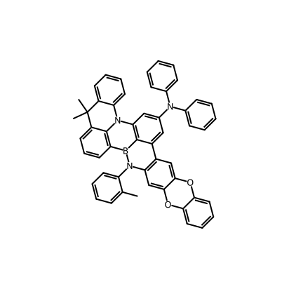 Cc1ccccc1N1B2c3cccc4c3N(c3ccccc3C4(C)C)c3cc(N(c4ccccc4)c4ccccc4)cc(c32)-c2cc3c(cc21)Oc1ccccc1O3